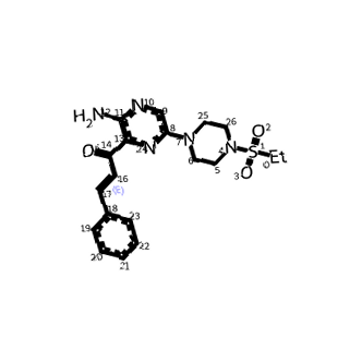 CCS(=O)(=O)N1CCN(c2cnc(N)c(C(=O)/C=C/c3ccccc3)n2)CC1